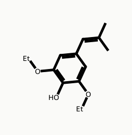 CCOc1cc(C=C(C)C)cc(OCC)c1O